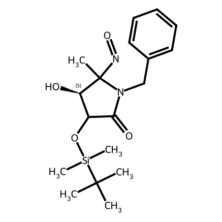 CC1(N=O)[C@H](O)C(O[Si](C)(C)C(C)(C)C)C(=O)N1Cc1ccccc1